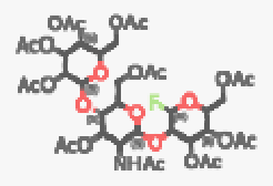 CC(=O)NC1C(OC(C)=O)[C@H](O[C@@H]2OC(COC(C)=O)[C@H](OC(C)=O)C(OC(C)=O)C2OC(C)=O)C(COC(C)=O)O[C@H]1OC1C(OC(C)=O)[C@H](OC(C)=O)C(COC(C)=O)O[C@@H]1F